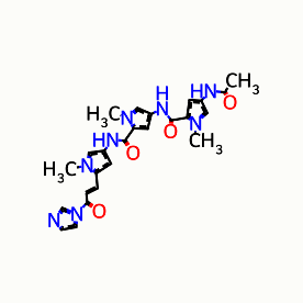 CC(=O)Nc1cc(C(=O)Nc2cc(C(=O)Nc3cc(/C=C/C(=O)n4ccnc4)n(C)c3)n(C)c2)n(C)c1